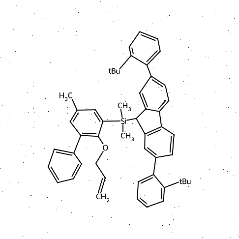 C=CCOc1c(-c2ccccc2)cc(C)cc1[Si](C)(C)C1c2cc(-c3ccccc3C(C)(C)C)ccc2-c2ccc(-c3ccccc3C(C)(C)C)cc21